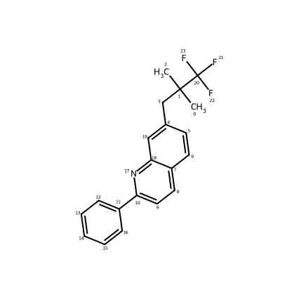 CC(C)(Cc1ccc2ccc(-c3ccccc3)nc2c1)C(F)(F)F